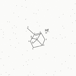 CC1=C2CC(CC1)C2(C)C.[Hf]